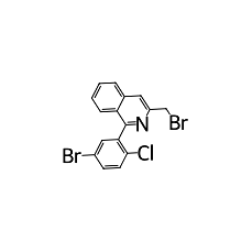 Clc1ccc(Br)cc1-c1nc(CBr)cc2ccccc12